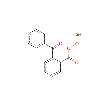 O=C(OOS)c1ccccc1C(=O)c1ccccc1